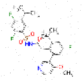 COc1ccncc1-c1cc(F)cc(C(C)C)c1CC(=O)NS(=O)(=O)c1cc(C(C)C)c(F)cc1F